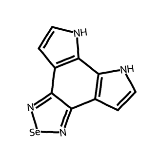 c1cc2c3n[se]nc3c3cc[nH]c3c2[nH]1